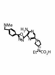 CCN(C(=O)O)[C@H]1CCN(c2cnc(N)c(-c3nnc(-c4ccc(CNC)cc4)o3)n2)C1